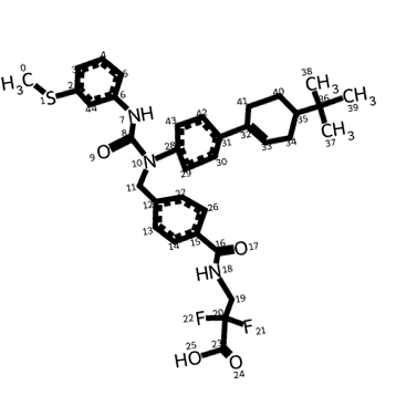 CSc1cccc(NC(=O)N(Cc2ccc(C(=O)NCC(F)(F)C(=O)O)cc2)c2ccc(C3=CCC(C(C)(C)C)CC3)cc2)c1